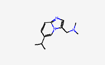 CC(C)c1ccc2ncc(CN(C)C)n2c1